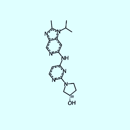 Cc1nc2cnc(Nc3ccnc(N4CC[C@H](O)C4)n3)cc2n1C(C)C